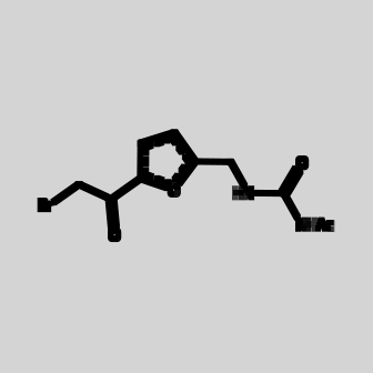 CC(=O)NC(=O)NCc1ccc(C(=O)CBr)o1